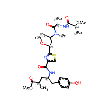 CCCO[C@H](CC(C(C)C)N(CCC)C(=O)[C@@H](NC(=O)[C@@H](NC)[C@@H](C)CC)[C@@H](C)CC)c1nc(C(=O)N[C@@H](Cc2ccc(O)cc2)C[C@H](C)C(=O)OC)cs1